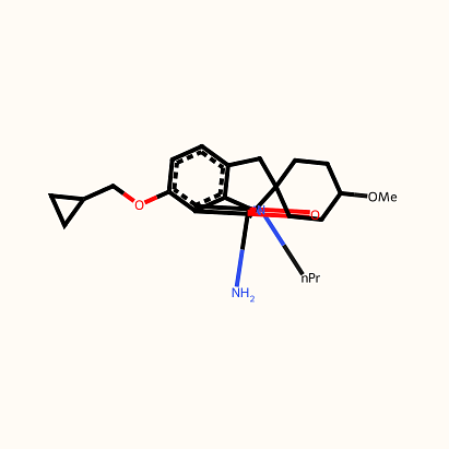 CCCN1C(=O)C2(N=C1N)c1cc(OCC3CC3)ccc1CC21CCC(OC)CC1